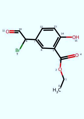 CCOC(=O)c1cc(C(Br)C=O)ccc1O